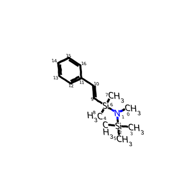 CN([Si](C)(C)C)[Si](C)(C)C=Cc1ccccc1